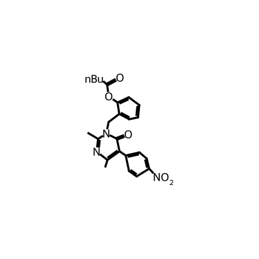 CCCCC(=O)Oc1ccccc1Cn1c(C)nc(C)c(-c2ccc([N+](=O)[O-])cc2)c1=O